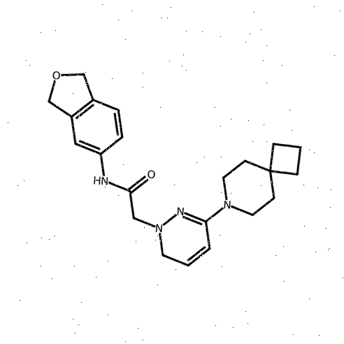 O=C(CN1CC=CC(N2CCC3(CCC3)CC2)=N1)Nc1ccc2c(c1)COC2